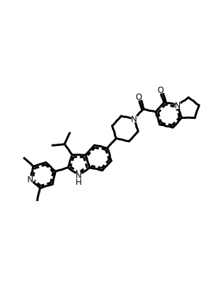 Cc1cc(-c2[nH]c3ccc(C4CCN(C(=O)c5ccc6n(c5=O)CCC6)CC4)cc3c2C(C)C)cc(C)n1